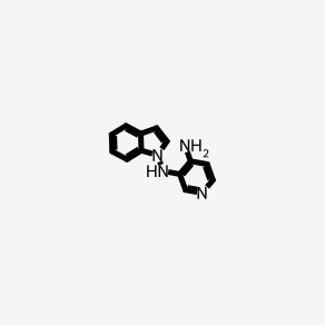 Nc1ccncc1Nn1ccc2ccccc21